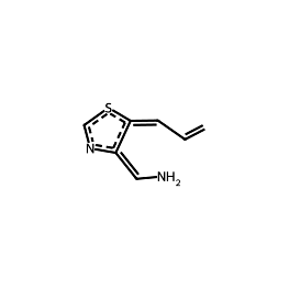 C=C/C=c1/scn/c1=C/N